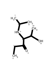 CCC(=O)C(NC(C)C)C(C)O